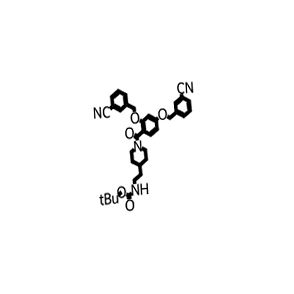 CC(C)(C)OC(=O)NCCC1CCN(C(=O)c2ccc(OCc3cccc(C#N)c3)cc2OCc2cccc(C#N)c2)CC1